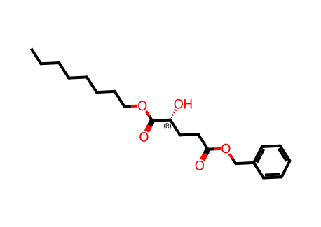 CCCCCCCCOC(=O)[C@H](O)CCC(=O)OCc1ccccc1